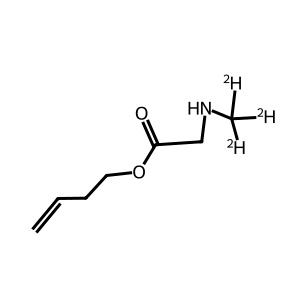 [2H]C([2H])([2H])NCC(=O)OCCC=C